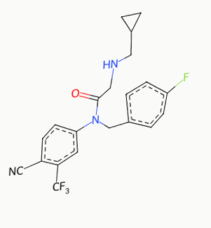 N#Cc1ccc(N(Cc2ccc(F)cc2)C(=O)CNCC2CC2)cc1C(F)(F)F